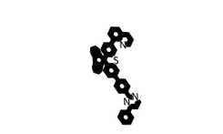 c1ccc(-c2ccnc(-c3ccc(-c4ccc5c(c4)Sc4cc(-c6cccc7cccnc67)ccc4C54c5ccccc5-c5ccccc54)cc3)n2)cc1